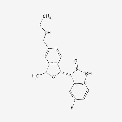 CCNCc1ccc2c(c1)C(C)O/C2=C1/C(=O)Nc2ccc(F)cc21